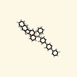 c1ccc(-c2ccc(-c3ccc(N(c4ccccc4)c4ccccc4-c4ccc5oc6cc7ccccc7cc6c5c4)cc3)cc2)cc1